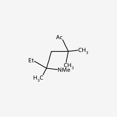 CCC(C)(CC(C)(C)C(C)=O)NC